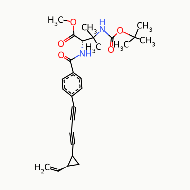 C=C[C@@H]1CC1C#CC#Cc1ccc(C(=O)N[C@H](C(=O)OC)C(C)(C)NC(=O)OC(C)(C)C)cc1